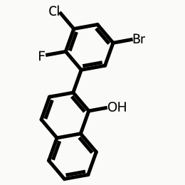 Oc1c(-c2cc(Br)cc(Cl)c2F)ccc2ccccc12